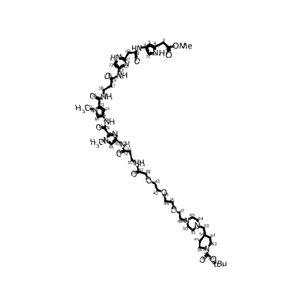 COC(=O)Cc1cc(NC(=O)Cc2nc(NC(=O)CCNC(=O)c3cc(NC(=O)c4nc(NC(=O)CCNC(=O)COCCOCCOCCN5CCN(CC6CCN(C(=O)OC(C)(C)C)CC6)CC5)cn4C)cn3C)c[nH]2)c[nH]1